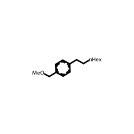 [CH2]OCc1ccc(CCCCCCCC)cc1